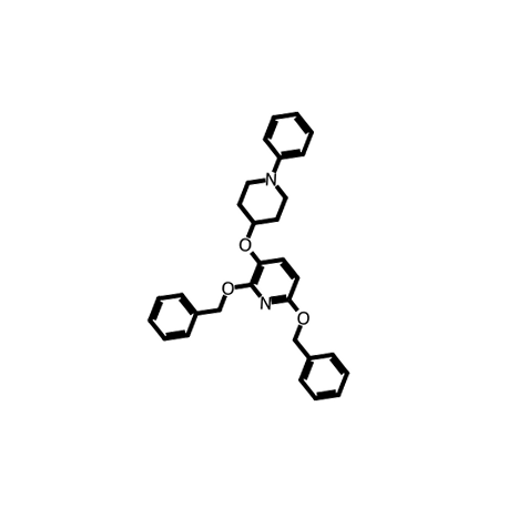 c1ccc(COc2ccc(OC3CCN(c4ccccc4)CC3)c(OCc3ccccc3)n2)cc1